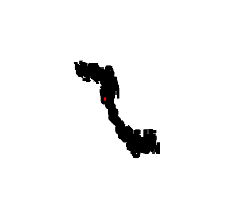 Cc1ncsc1-c1ccc(CNC(=O)[C@@H]2CCCN2C(=O)C(NC(=O)COCCOCC#CCOc2ccc(N3C(=S)N(c4ccc(C#N)c(C(F)(F)F)c4)C(=O)C3(C)C)cc2)C(C)(C)C)cc1